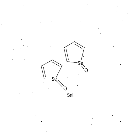 O=[Se]1C=CC=C1.O=[Se]1C=CC=C1.[Sn]